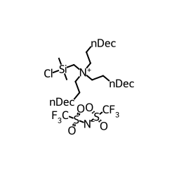 CCCCCCCCCCCC[N+](CCCCCCCCCCCC)(CCCCCCCCCCCC)C[Si](C)(C)Cl.O=S(=O)([N-]S(=O)(=O)C(F)(F)F)C(F)(F)F